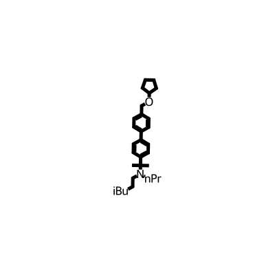 CCCN(CCC(C)CC)C(C)(C)c1ccc(-c2ccc(COC3CCCC3)cc2)cc1